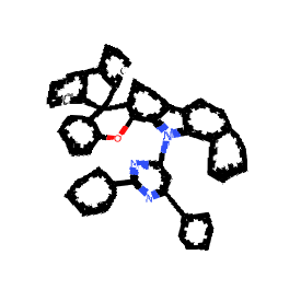 c1ccc(-c2cc(-n3c4c5c(ccc4c4ccc6ccccc6c43)C3(c4ccccc4O5)c4ccccc4-c4ccccc43)nc(-c3ccccc3)n2)cc1